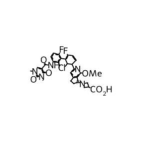 COc1nc(C2C=CC(F)=C(c3c(F)ccc(NC(=O)c4cn(C)c(=O)n(C)c4=O)c3C)C2Cl)cc2c1[C@@H](N1CC(C(=O)O)C1)CC2